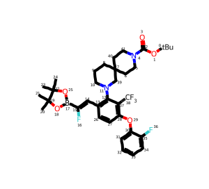 CC(C)(C)OC(=O)N1CCC2(CCCN(c3c(/C=C(\F)B4OC(C)(C)C(C)(C)O4)ccc(Oc4ccccc4F)c3C(F)(F)F)C2)CC1